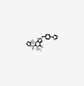 Cn1c(N[C@@H]2CCC[C@H]2O)nc2nn(Cc3ccc(-n4cccn4)cc3)cc2c1=O